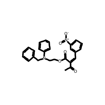 CC(=O)C(=Cc1cccc([N+](=O)[O-])c1)C(=O)OCCN(Cc1ccccc1)c1ccccc1